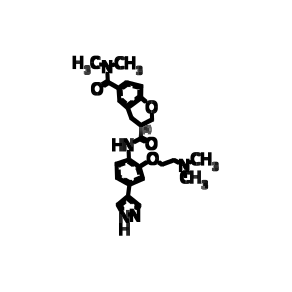 CN(C)CCOc1cc(-c2cn[nH]c2)ccc1NC(=O)[C@@H]1COc2ccc(C(=O)N(C)C)cc2C1